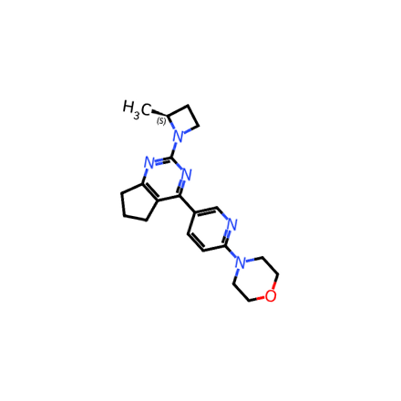 C[C@H]1CCN1c1nc2c(c(-c3ccc(N4CCOCC4)nc3)n1)CCC2